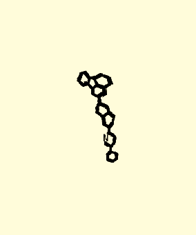 c1ccc(-c2ccc(-c3ccc4cc(-c5cc6c7c(cccc7c5)-c5ccccc5-6)ccc4c3)nc2)cc1